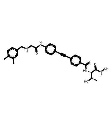 Cc1ccc(CNCC(=O)Nc2ccc(C#Cc3ccc(C(=O)N[C@H](C(=O)NO)[C@@H](C)O)cc3)cc2)cc1C